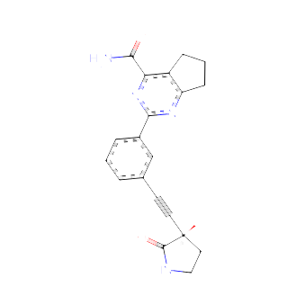 NC(=O)c1nc(-c2cccc(C#C[C@]3(O)CCNC3=O)c2)nc2c1CCC2